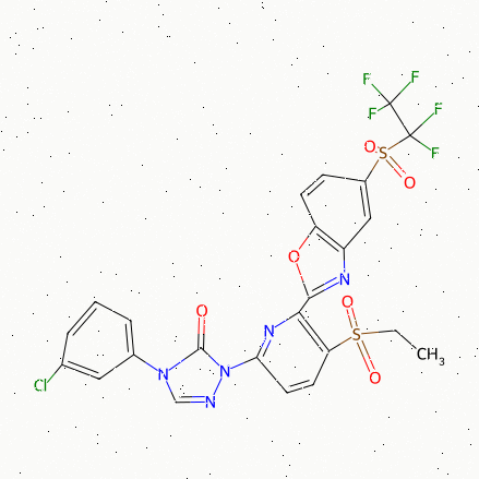 CCS(=O)(=O)c1ccc(-n2ncn(-c3cccc(Cl)c3)c2=O)nc1-c1nc2cc(S(=O)(=O)C(F)(F)C(F)(F)F)ccc2o1